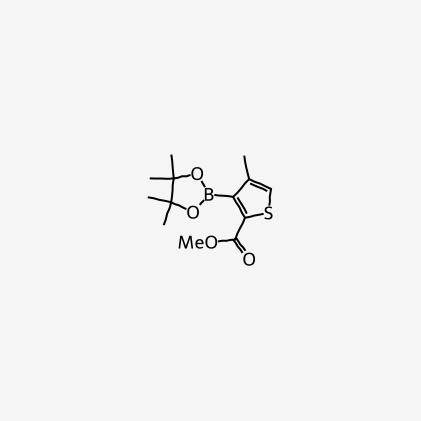 COC(=O)c1scc(C)c1B1OC(C)(C)C(C)(C)O1